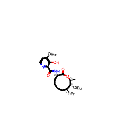 CCC[C@H]1CCCC[C@H](NC(=O)c2nccc(OC)c2O)C(=O)O[C@@H](C)[C@@H]1OCC(C)C